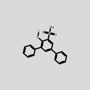 O=S(=O)(O)c1cc(-c2ccccc2)cc(-c2ccccc2)c1OI